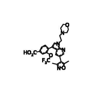 Cc1noc(C)c1-c1cnc2c(c1)c(-c1ccc(C(=O)O)cc1OC(F)(F)F)cn2CCN1CCOCC1